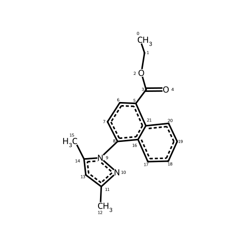 CCOC(=O)c1ccc(-n2nc(C)cc2C)c2ccccc12